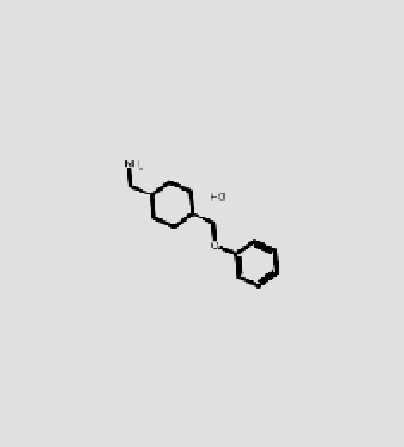 Cl.NC[C@H]1CC[C@@H](COc2ccccc2)CC1